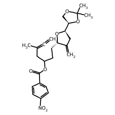 C=C=C(C)CC(CC[C@@H]1O[C@@H]([C@H]2COC(C)(C)O2)CC1=C)OC(=O)c1ccc([N+](=O)[O-])cc1